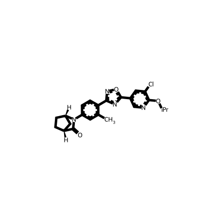 Cc1cc(N2C(=O)[C@@H]3CC[C@H]2C3)ccc1-c1noc(-c2cnc(OC(C)C)c(Cl)c2)n1